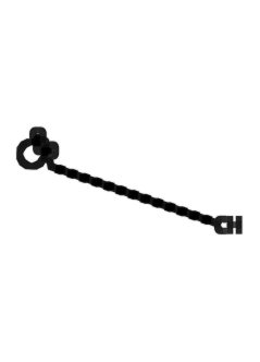 C#CC#CC#CC#CC#CC#CC#CC#CC#CC#CC#CC#CC#CC#CCCC1CCCCCCCCC(=O)OC1=O